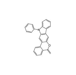 C=C1Oc2cc3c4ccccc4n(-c4ccccc4)c3cc2-c2ccccc21